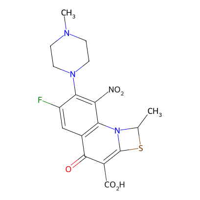 CC1Sc2c(C(=O)O)c(=O)c3cc(F)c(N4CCN(C)CC4)c([N+](=O)[O-])c3n21